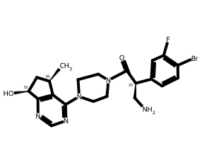 C[C@@H]1C[C@H](O)c2ncnc(N3CCN(C(=O)[C@H](CN)c4ccc(Br)c(F)c4)CC3)c21